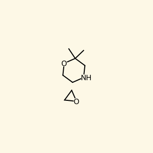 C1CO1.CC1(C)CNCCO1